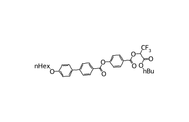 CCCCCCOc1ccc(-c2ccc(C(=O)Oc3ccc(C(=O)OC(C(=O)OCCCC)C(F)(F)F)cc3)cc2)cc1